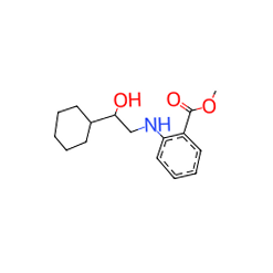 COC(=O)c1ccccc1NCC(O)C1CCCCC1